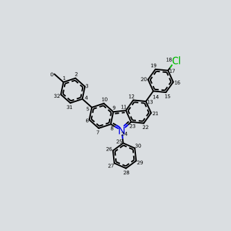 Cc1ccc(-c2ccc3c(c2)c2cc(-c4ccc(Cl)cc4)ccc2n3-c2ccccc2)cc1